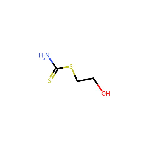 NC(=S)SCCO